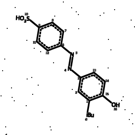 CCC(C)c1cc(N=Nc2ccc(S(=O)(=O)O)cc2)ccc1O